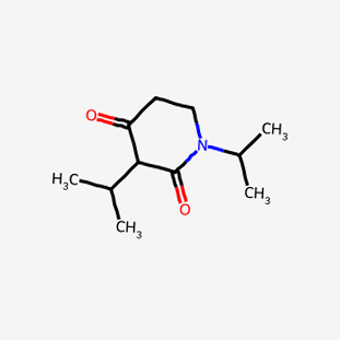 CC(C)C1C(=O)CCN(C(C)C)C1=O